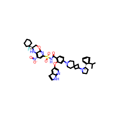 CC(C)c1ccccc1[C@@H]1CCCN1C1CC2(CCN(c3ccc(C(=O)NS(=O)(=O)c4cc([N+](=O)[O-])c5c(n4)OC[C@H](C4(F)CCCCC4)N5)c(Oc4cnc5[nH]ccc5c4)c3)CC2)C1